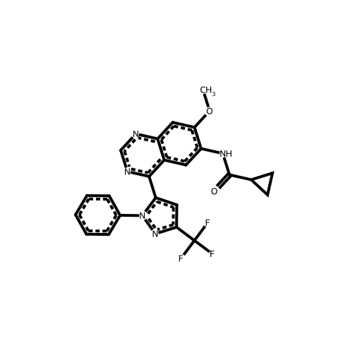 COc1cc2ncnc(-c3cc(C(F)(F)F)nn3-c3ccccc3)c2cc1NC(=O)C1CC1